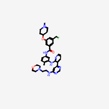 Cc1ccc(NC(=O)c2cc(CF)cc(OC3CCN(C)CC3)c2)cc1Nc1ncccc1-c1cc(NCCN2CCOCC2)ncn1